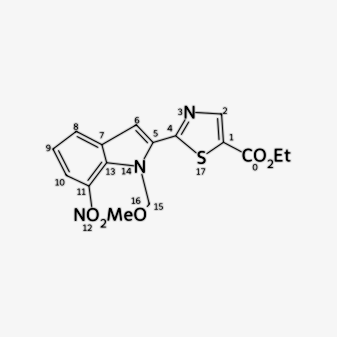 CCOC(=O)c1cnc(-c2cc3cccc([N+](=O)[O-])c3n2COC)s1